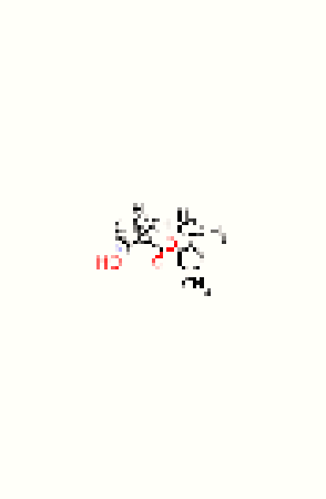 C/C=C(/CO)C1C(C(=O)OC2CC(C)CCC2C(C)C)C1(C)C